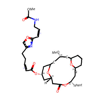 CCCCC[C@H]1C[C@@H]2CCCC(C[C@@H](OC)CC3C[C@@H](OC(=O)/C=C\CCc4coc(/C=C\CNC(=O)OC)n4)C[C@@H](CC(=O)O1)O3)O2